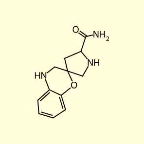 NC(=O)C1CC2(CNc3ccccc3O2)CN1